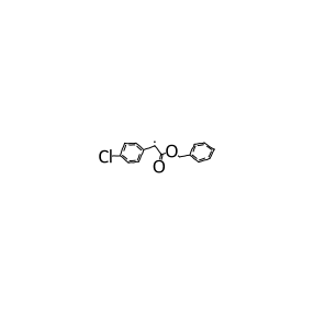 O=C([CH]c1ccc(Cl)cc1)OCc1ccccc1